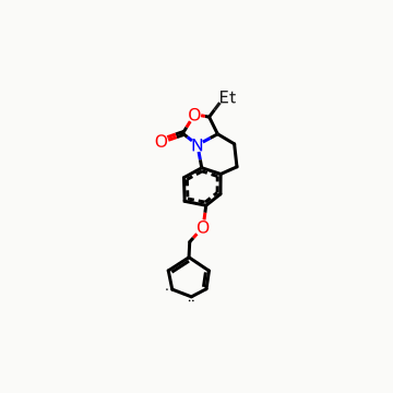 CCC1OC(=O)N2c3ccc(OCC4=C[CH][C]C=C4)cc3CCC12